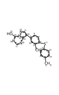 Cc1ccc(Sc2ccc(-c3cnn4c(O)ncnc34)cc2C)cc1